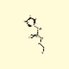 CCCCC(=O)On1cccc1